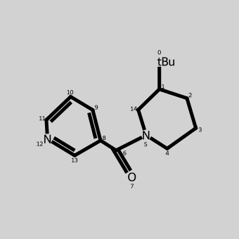 CC(C)(C)C1CCCN(C(=O)c2cccnc2)C1